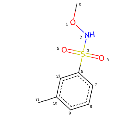 CONS(=O)(=O)c1cccc(C)c1